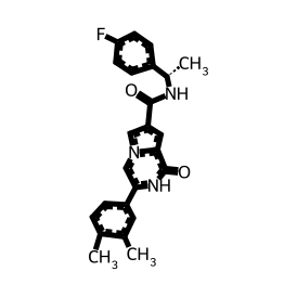 Cc1ccc(-c2cn3cc(C(=O)N[C@@H](C)c4ccc(F)cc4)cc3c(=O)[nH]2)cc1C